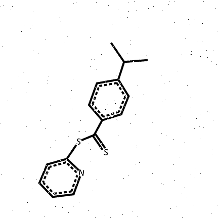 CC(C)c1ccc(C(=S)Sc2ccccn2)cc1